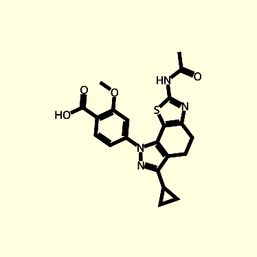 COc1cc(-n2nc(C3CC3)c3c2-c2sc(NC(C)=O)nc2CC3)ccc1C(=O)O